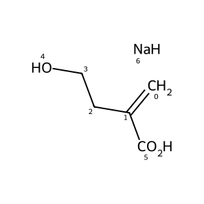 C=C(CCO)C(=O)O.[NaH]